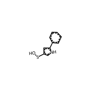 OSc1c[nH]c(-c2ccccc2)c1